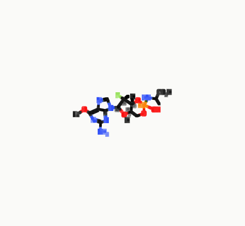 CCOc1nc(N)nc2c1ncn2[C@@H]1O[C@@H]2CO[PH](O)(NC(C)C(=O)O)O[C@H]2[C@@]1(C)F